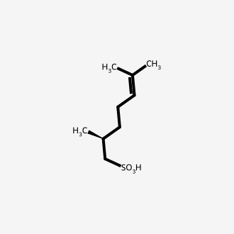 CC(C)=CCC[C@H](C)CS(=O)(=O)O